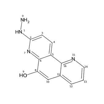 NNc1ccc2c(n1)c(O)cc1cccnc12